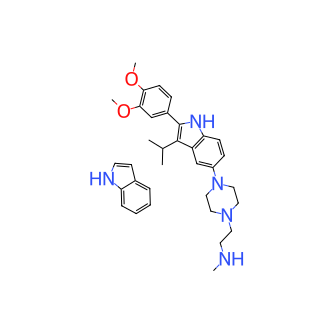 CNCCN1CCN(c2ccc3[nH]c(-c4ccc(OC)c(OC)c4)c(C(C)C)c3c2)CC1.c1ccc2[nH]ccc2c1